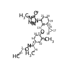 C#CCO/N=C(\CC)c1ccc(OCc2c(C3CC3)cccc2-n2nnn(C)c2=O)c(C)c1